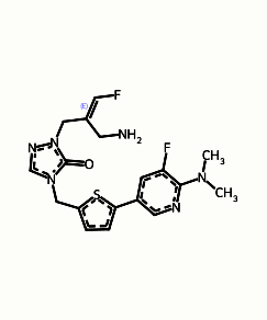 CN(C)c1ncc(-c2ccc(Cn3cnn(C/C(=C/F)CN)c3=O)s2)cc1F